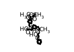 COC(=O)N(c1ccc(Cn2c(C(=O)O)cc3cc(CC(C)NCC(O)COc4ccccc4)ccc32)cc1)S(C)(=O)=O